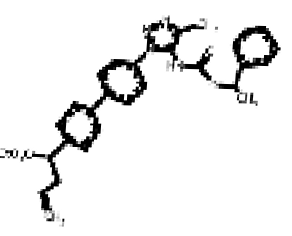 C=CC[C@@H](C(=O)OCC)c1ccc(-c2ccc(-n3nnc(C)c3NC(=O)OC(C)c3ccccc3)cc2)cc1